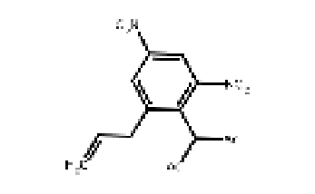 C=CCc1cc([N+](=O)[O-])cc([N+](=O)[O-])c1C(C(C)=O)C(C)=O